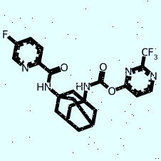 O=C(NC12CC3CC(C1)CC(NC(=O)c1ccc(F)cn1)(C3)C2)Oc1ccnc(C(F)(F)F)n1